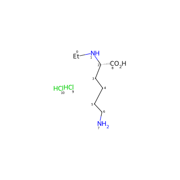 CCN[C@@H](CCCCN)C(=O)O.Cl.Cl